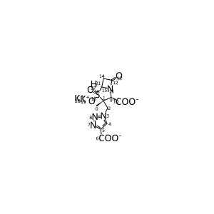 C[C@]1(Cn2cc(C(=O)[O-])nn2)[C@H](C(=O)[O-])N2C(=O)C[C@@H]2S1(=O)=O.[K+].[K+]